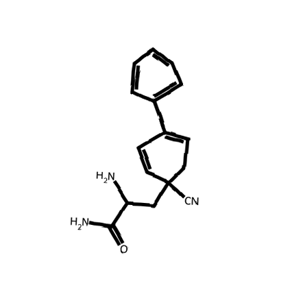 N#CC1(CC(N)C(N)=O)C=CC(c2ccccc2)=CC1